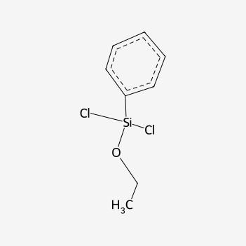 CCO[Si](Cl)(Cl)c1ccccc1